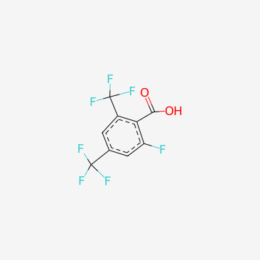 O=C(O)c1c(F)cc(C(F)(F)F)cc1C(F)(F)F